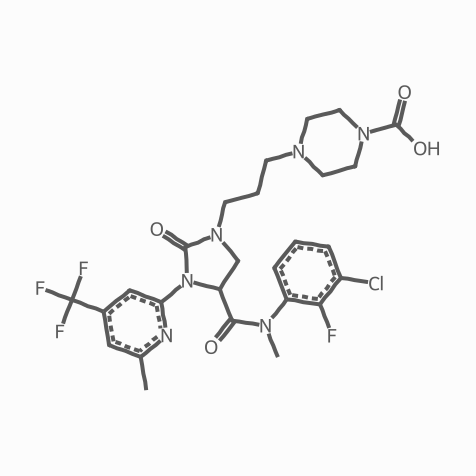 Cc1cc(C(F)(F)F)cc(N2C(=O)N(CCCN3CCN(C(=O)O)CC3)CC2C(=O)N(C)c2cccc(Cl)c2F)n1